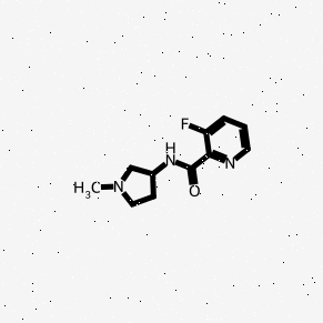 CN1CCC(NC(=O)c2ncccc2F)C1